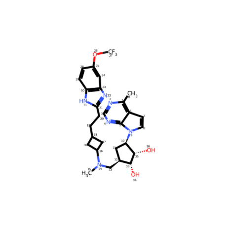 Cc1ncnc2c1ccn2[C@@H]1C[C@H](CN(C)C2CC(CCc3nc4cc(OC(F)(F)F)ccc4[nH]3)C2)[C@@H](O)[C@H]1O